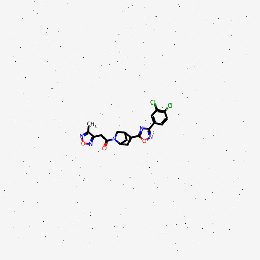 Cc1nonc1CC(=O)N1CC2CC1CC2c1nc(-c2ccc(Cl)c(Cl)c2)no1